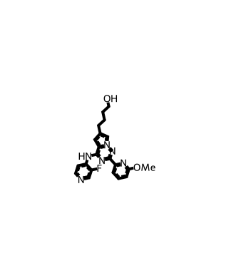 COc1cccc(-c2nc(Nc3ccncc3F)c3cc(CCCCO)cn3n2)n1